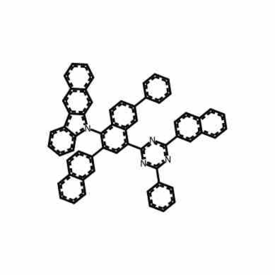 c1ccc(-c2ccc3c(-n4c5ccccc5c5cc6ccccc6cc54)c(-c4ccc5ccccc5c4)cc(-c4nc(-c5ccccc5)nc(-c5ccc6ccccc6c5)n4)c3c2)cc1